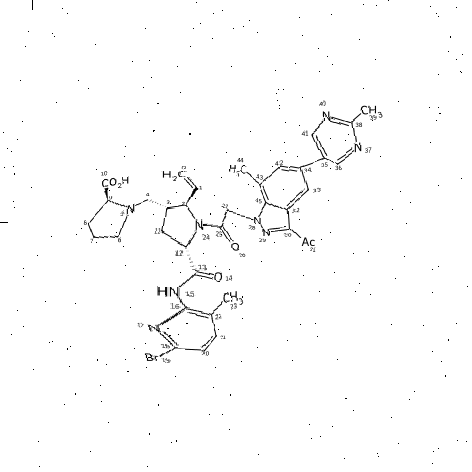 C=C[C@@H]1[C@@H](CN2CCC[C@H]2C(=O)O)C[C@@H](C(=O)Nc2nc(Br)ccc2C)N1C(=O)Cn1nc(C(C)=O)c2cc(-c3cnc(C)nc3)cc(C)c21